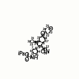 CC(C)OC(=O)Nc1ccc(-c2c(-c3cnco3)c3ccc(OC4CCOCC4)cc3n2C2CCC2)cc1